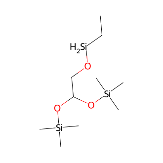 CC[SiH2]OCC(O[Si](C)(C)C)O[Si](C)(C)C